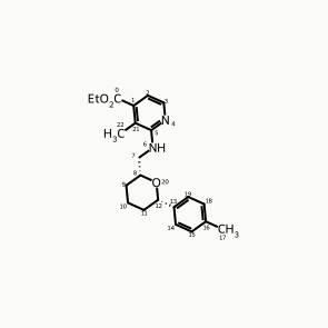 CCOC(=O)c1ccnc(NC[C@H]2CCC[C@@H](c3ccc(C)cc3)O2)c1C